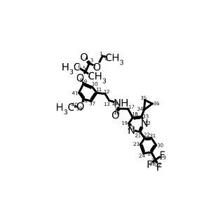 CCOC(=O)C(C)(C)Oc1cc(CCNC(=O)Cc2cnc(-c3ccc(C(F)(F)F)cc3)nc2C2CC2)cc(OC)c1